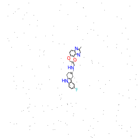 Cc1cnc2c3c(ccc2n1)OC[C@H](CNC[C@H]1CCc2[nH]c4ccc(F)cc4c2C1)O3